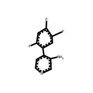 Nc1cnccc1-c1cc(F)c(F)cc1F